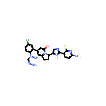 N/N=C\N(N)c1ccc(Cl)cc1-c1cc2n(c(=O)c1)C(c1cnc(-c3ccc(N)nc3F)[nH]1)CC2